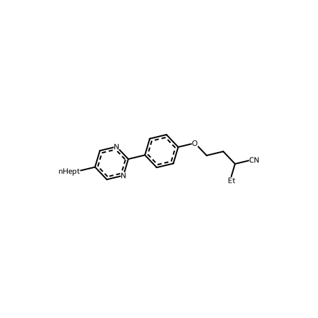 CCCCCCCc1cnc(-c2ccc(OCCC(C#N)CC)cc2)nc1